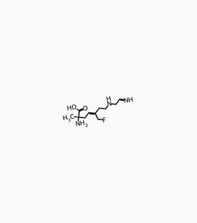 C[C@](N)(C/C=C(\CF)CCNCC=N)C(=O)O